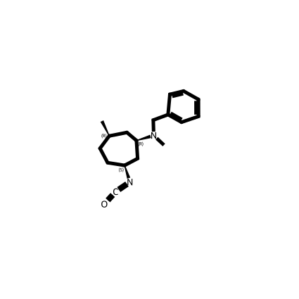 C[C@@H]1CC[C@H](N=C=O)C[C@H](N(C)Cc2ccccc2)C1